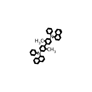 Cc1cc(N(c2ccccc2)c2cccc3c#cccc23)ccc1-c1ccc(N(c2ccccc2)c2cccc3ccccc23)cc1C